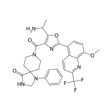 COc1ccc(-c2nc(C(=O)N3CCC4(CC3)C(=O)NCN4c3ccccc3)c(C(C)N)o2)c2ccc(C(F)(F)F)nc12